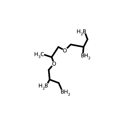 BCC(B)COCC(C)OCC(B)CB